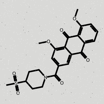 COc1cccc2c1C(=O)c1c(OC)cc(C(=O)N3CCC(S(C)(=O)=O)CC3)cc1C2=O